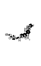 Cn1c(=O)c(-c2c(F)ccc(NS(=O)(=O)N3CC[C@@H](F)C3)c2F)cc2cnc(NCCN3CCN(C(=O)OC(C)(C)C)CC3)nc21